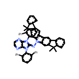 CC(C)c1cccc(C(C)C)c1-n1c(=Nn2c3cc4c(cc3c3cc5c(cc32)C(C)(C)c2ccccc2-5)-c2ccccc2C4(C)C)n(-c2c(C(C)C)cccc2C(C)C)c2nccnc21